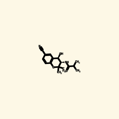 CC(C)C(=O)N[C@H]1[C@H](O)c2cc(C#N)ccc2OC1(C)C